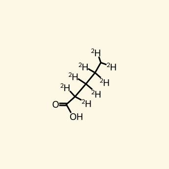 [2H]C([2H])C([2H])([2H])C([2H])([2H])C([2H])([2H])C(=O)O